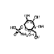 NS(=O)(=O)O.OC[C@@]1(O)OC[C@@H](O)[C@@H](O)[C@@H]1O